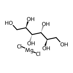 OC[C@@H](O)[C@@H](O)[C@H](O)[C@H](O)CO.[Cl][Mg][Cl]